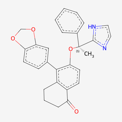 C[C@](Oc1ccc2c(c1-c1ccc3c(c1)OCO3)CCCC2=O)(c1ccccc1)c1ncc[nH]1